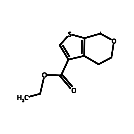 CCOC(=O)c1csc2c1CCO[CH]2